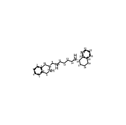 c1ccc2c(c1)CN[C@H](CNCCCCN[C@H]1CCCc3cccnc31)C2